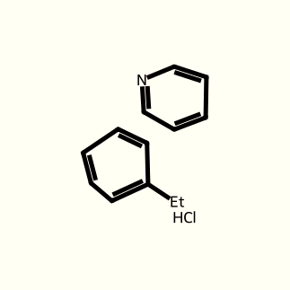 CCc1ccccc1.Cl.c1ccncc1